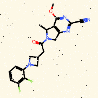 COc1nc(C#N)nc2c1C(C)N(C(=O)CC1CN(c3cccc(F)c3F)C1)C2